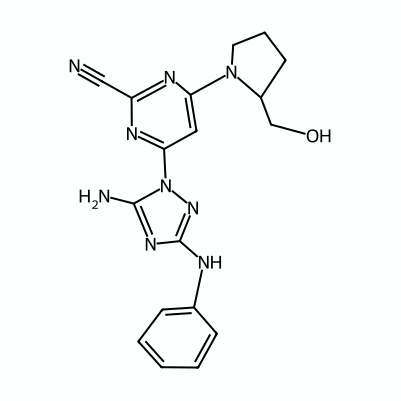 N#Cc1nc(N2CCCC2CO)cc(-n2nc(Nc3ccccc3)nc2N)n1